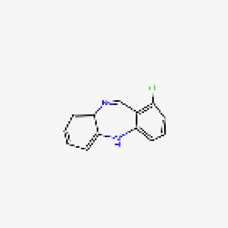 Clc1cccc2c1C=Nc1ccccc1N2